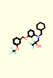 OC(F)(CN(CC1CCCCC1)c1cccc(OCc2cccc(OC(F)(F)F)c2)c1)C(F)F